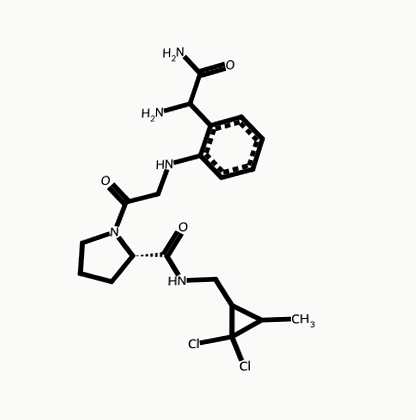 CC1C(CNC(=O)[C@@H]2CCCN2C(=O)CNc2ccccc2C(N)C(N)=O)C1(Cl)Cl